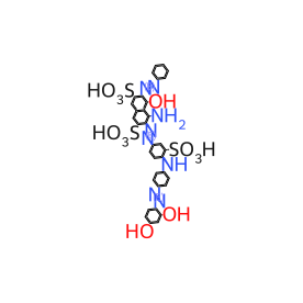 Nc1c(/N=N/c2ccc(Nc3ccc(/N=N/c4ccc(O)cc4O)cc3)c(S(=O)(=O)O)c2)c(S(=O)(=O)O)cc2cc(S(=O)(=O)O)c(/N=N/c3ccccc3)c(O)c12